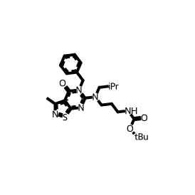 Cc1nsc2nc(N(CCCNC(=O)OC(C)(C)C)CC(C)C)n(Cc3ccccc3)c(=O)c12